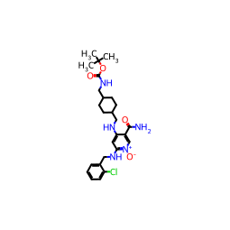 CC(C)(C)OC(=O)NCC1CCC(CNc2cc(NCc3ccccc3Cl)[n+]([O-])cc2C(N)=O)CC1